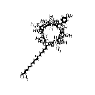 CCCCC/C=C/C/C=C/CCCCCCCC(=O)NC1C[C@@H](O)[C@@H](O)NC(=O)C2[C@@H](O)[C@@H](C)CN2C(=O)[C@H]([C@@H](C)O)NC(=O)[C@H]([C@H](O)[C@@H](O)c2ccc(O)cc2)NC(=O)[C@@H]2C[C@@H](O)CN2C(=O)[C@H]([C@@H](C)O)NC1=O